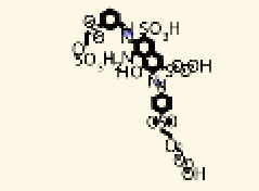 Nc1c(/N=N/c2cccc(S(=O)(=O)CCOS(=O)(=O)O)c2)c(S(=O)(=O)O)cc2cc(SOOO)c(/N=N/c3ccc(S(=O)(=O)CCOSOOO)cc3)c(O)c12